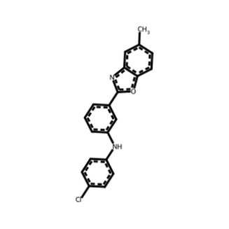 Cc1ccc2oc(-c3cccc(Nc4ccc(Cl)cc4)c3)nc2c1